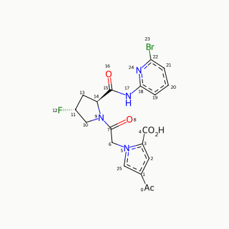 CC(=O)c1cc(C(=O)O)n(CC(=O)N2C[C@H](F)C[C@H]2C(=O)Nc2cccc(Br)n2)c1